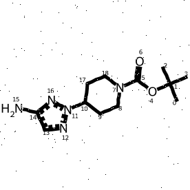 CC(C)(C)OC(=O)N1CCC(n2ncc(N)n2)CC1